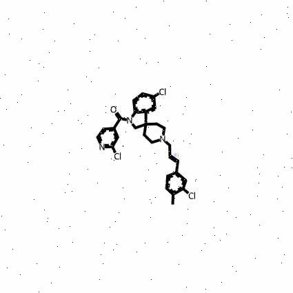 Cc1ccc(/C=C/CN2CCC3(CC2)CN(C(=O)c2ccnc(Cl)c2)c2ccc(Cl)cc23)cc1Cl